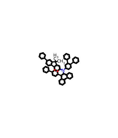 CC1(C)c2cc(-c3ccccc3)ccc2-c2ccc(N(c3ccc(-c4ccccc4)c(-c4ccccc4)c3)c3c(-c4ccc(-c5ccccc5)cc4)c4ccccc4c4ccccc34)cc21